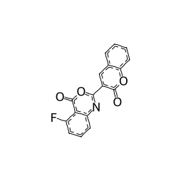 O=c1oc2ccccc2cc1-c1nc2cccc(F)c2c(=O)o1